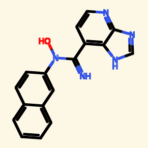 N=C(c1ccnc2nc[nH]c12)N(O)c1ccc2ccccc2c1